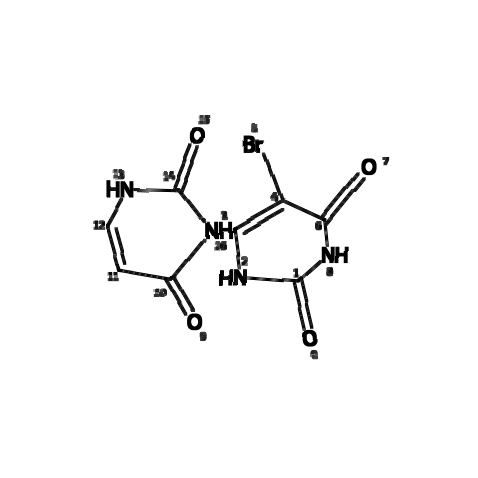 O=c1[nH]cc(Br)c(=O)[nH]1.O=c1cc[nH]c(=O)[nH]1